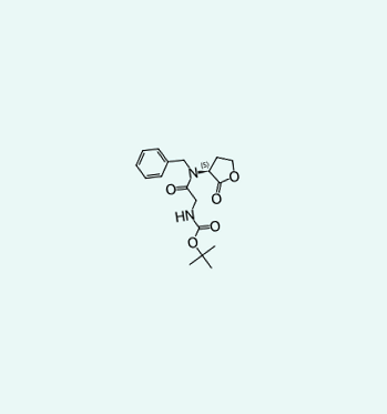 CC(C)(C)OC(=O)NCC(=O)N(Cc1ccccc1)[C@H]1CCOC1=O